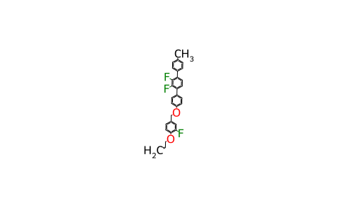 C=CCOc1ccc(COc2ccc(-c3ccc(-c4ccc(C)cc4)c(F)c3F)cc2)cc1F